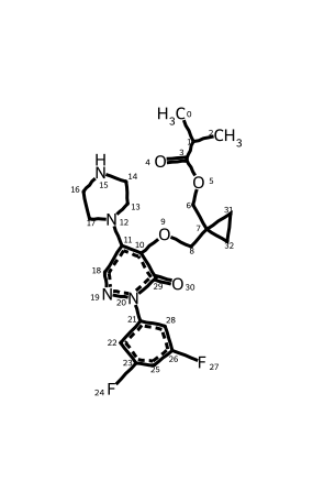 CC(C)C(=O)OCC1(COc2c(N3CCNCC3)cnn(-c3cc(F)cc(F)c3)c2=O)CC1